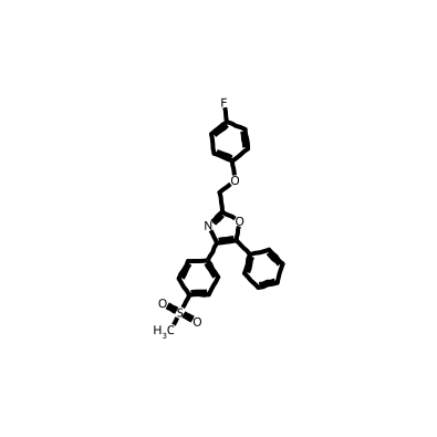 CS(=O)(=O)c1ccc(-c2nc(COc3ccc(F)cc3)oc2-c2ccccc2)cc1